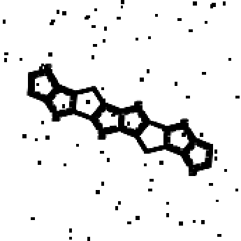 c1cc2sc3c(c2s1)Cc1c-3sc2c3c(sc12)-c1sc2ccsc2c1C3